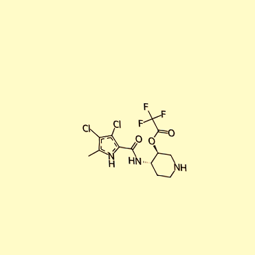 Cc1[nH]c(C(=O)N[C@H]2CCNC[C@@H]2OC(=O)C(F)(F)F)c(Cl)c1Cl